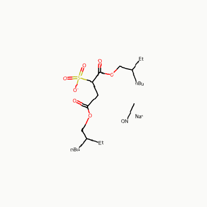 CCCCC(CC)COC(=O)CC(C(=O)OCC(CC)CCCC)S(=O)(=O)[O-].CN=O.[Na+]